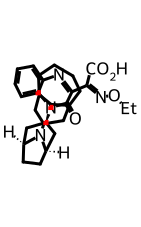 CCO/N=C(\C(=O)O)c1nc2ccccc2n([C@H]2C[C@H]3CC[C@@H](C2)N3C2CC3CCCCC(C3)C2)c1=O